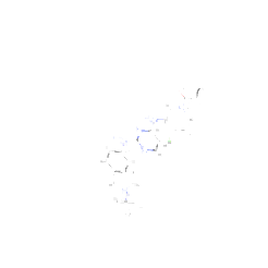 C=CC(=O)N1CCC[C@@H](Nc2nc(Nc3ccc4c(c3)CN(C(C)(C)C)C4)ncc2F)C1